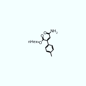 CCCCCCOC(=O)C(=CC(N)=O)c1ccc(C)cc1